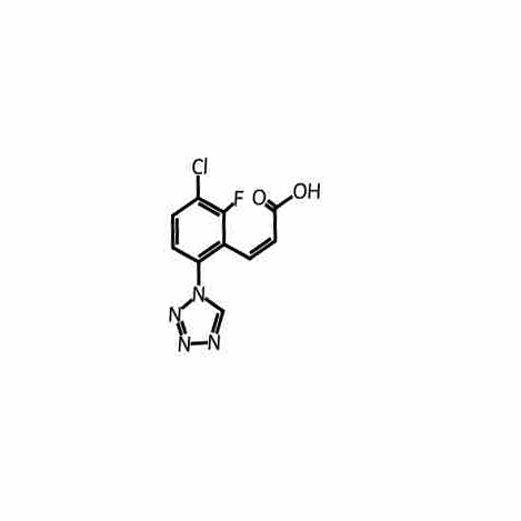 O=C(O)/C=C\c1c(-n2cnnn2)ccc(Cl)c1F